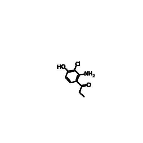 CCC(=O)c1ccc(O)c(Cl)c1N